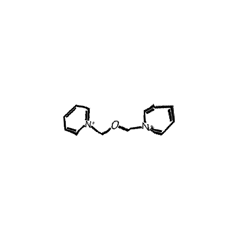 c1cc[n+](COC[n+]2ccccc2)cc1